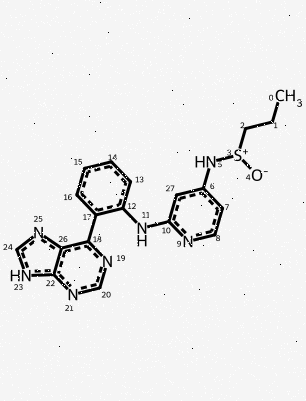 CCC[S+]([O-])Nc1ccnc(Nc2ccccc2-c2ncnc3[nH]cnc23)c1